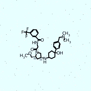 COC[C@@H]1C[C@H](NC2CCC(O)(c3ccc(CN(C)C)cc3)CC2)CN1C(=O)CNC(=O)c1cccc(C(F)(F)F)c1